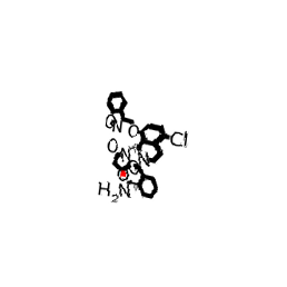 NC(=O)[C@@H]1CCCCC1C(=O)N1CCc2c(Cl)ccc(OCc3noc4ccccc34)c2[C@H]1CN1CCCC1=O